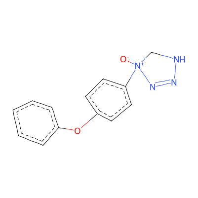 [O-][N+]1(c2ccc(Oc3ccccc3)cc2)CNN=N1